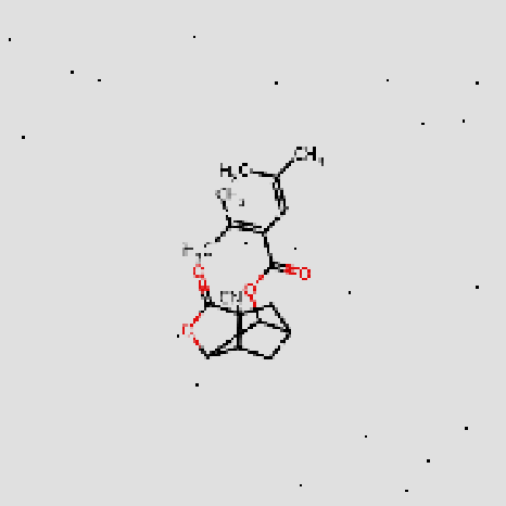 CC(C)=CC(C(=O)OC1C2CC3C1OC(=O)C3(C#N)C2)=C(C)C